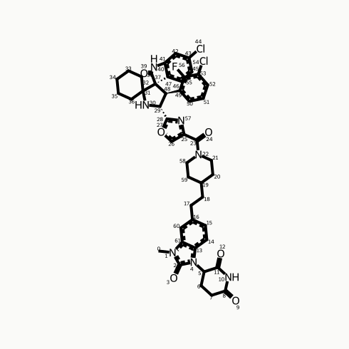 Cn1c(=O)n(C2CCC(=O)NC2=O)c2ccc(CCC3CCN(C(=O)c4coc([C@@H]5NC6(CCCCC6)[C@@]6(C(=O)Nc7cc(Cl)ccc76)[C@H]5c5cccc(Cl)c5F)n4)CC3)cc21